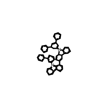 C1=CC2C(C=C1c1cccc3c4ccccc4n(-c4cccc(-c5ccccc5)c4)c13)c1ccccc1N2C1=CC(c2ccccc2)=CC(c2ccccc2)C1